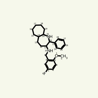 COc1ccc(F)cc1CNC1CCC2CCCCCC2NC1c1ccccc1